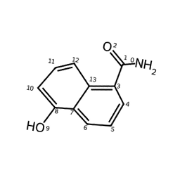 NC(=O)c1cccc2c(O)cccc12